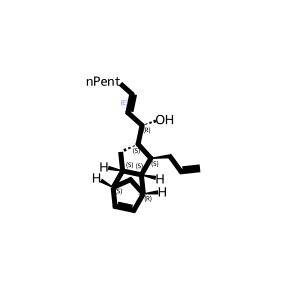 C=CC[C@@H]1[C@@H]([C@@H](O)/C=C/CCCCC)C[C@@H]2[C@H]1[C@@H]1C=C[C@H]2C1